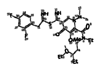 CCOC(CC)CCN(CC)C(=O)c1c(OC)c(=O)c(C(=N)SC(=N)Cc2ccc(F)cc2F)cn1N(C)C